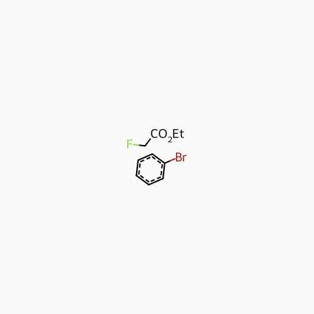 Brc1ccccc1.CCOC(=O)CF